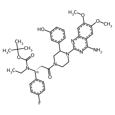 CCN(C(=O)OC(C)(C)C)[C@H](CC(=O)N1CCN(c2nc(N)c3cc(OC)c(OC)cc3n2)C(c2cccc(O)c2)C1)c1ccc(F)cc1